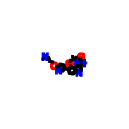 CN(C)CCCOc1ccc(-c2ccc3ncc4c5c3c2OCC(C)(C)n5c(=O)n4C)cn1